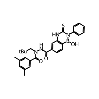 Cc1cc(C)cc(C(=O)N(CC(C)(C)C)NC(=O)c2ccc3c(c2)NC(=S)N(c2ccccc2)B3O)c1